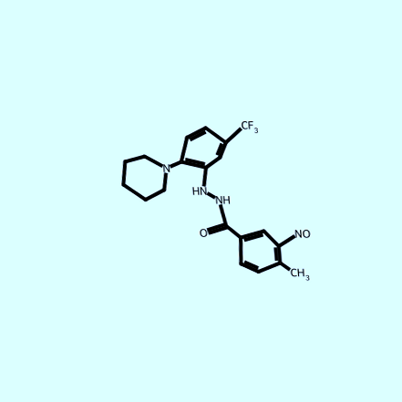 Cc1ccc(C(=O)NNc2cc(C(F)(F)F)ccc2N2CCCCC2)cc1N=O